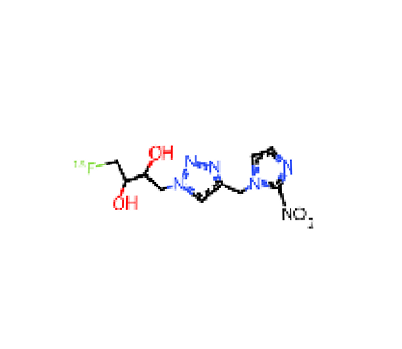 O=[N+]([O-])c1nccn1Cc1cn(CC(O)C(O)C[18F])nn1